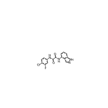 O=C(Nc1ccc(Cl)c(F)c1)C(=O)Nc1cccc2[nH]ncc12